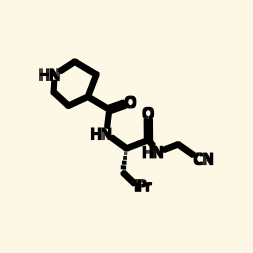 CC(C)C[C@H](NC(=O)C1CCNCC1)C(=O)NCC#N